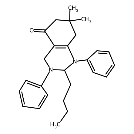 CCCCC1N(c2ccccc2)CC2=C(CC(C)(C)CC2=O)N1c1ccccc1